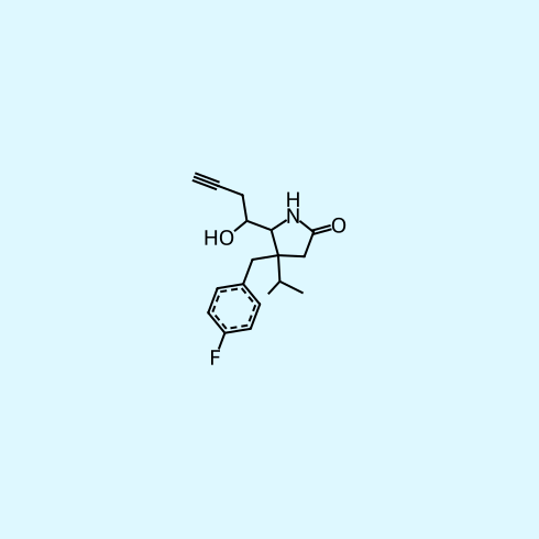 C#CCC(O)C1NC(=O)CC1(Cc1ccc(F)cc1)C(C)C